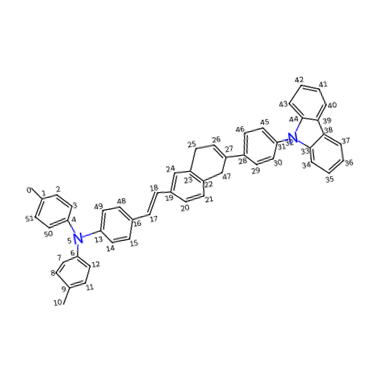 Cc1ccc(N(c2ccc(C)cc2)c2ccc(/C=C/c3ccc4c(c3)CC=C(c3ccc(-n5c6ccccc6c6ccccc65)cc3)C4)cc2)cc1